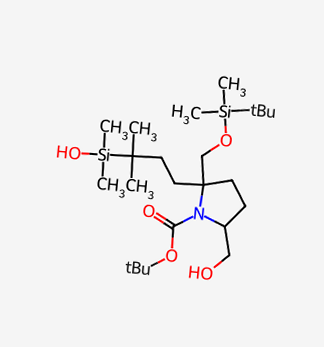 CC(C)(C)OC(=O)N1C(CO)CCC1(CCC(C)(C)[Si](C)(C)O)CO[Si](C)(C)C(C)(C)C